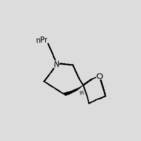 CCCN1CC[C@@]2(CCO2)C1